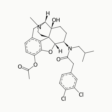 CC(=O)Oc1ccc2c3c1O[C@H]1[C@H](N(CC(C)C)C(=O)Cc4ccc(Cl)c(Cl)c4)CC[C@@]4(O)[C@@H](C2)N(C)CC[C@]314